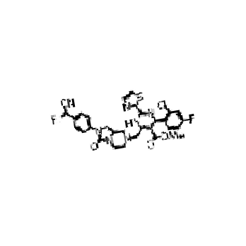 CCC(C#N)c1ccc(N2CC3CN(CC4=C(C(=O)OC)C(c5ccc(F)cc5Cl)N=C(c5nccs5)N4)CCN3C2=O)cc1